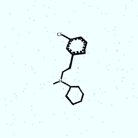 CN(CCc1cccc(Cl)c1)C1CCCCC1